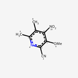 COc1c(C#N)nc(C)c(C)c1[N+](=O)[O-]